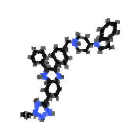 Cn1nnc(-c2ccc3nc(-c4ccc(CN5CCC(n6ccc7ccccc76)CC5)cc4)c(-c4ccccc4)nc3c2)n1